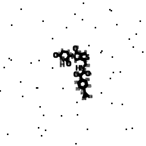 O=C1CCC(N2Cc3c(csc3CNC(=O)C(=O)c3ccc(C4CC4)cc3)C2=O)C(=O)N1